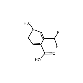 CN1C=C(C(F)F)C(C(=O)O)=CC1